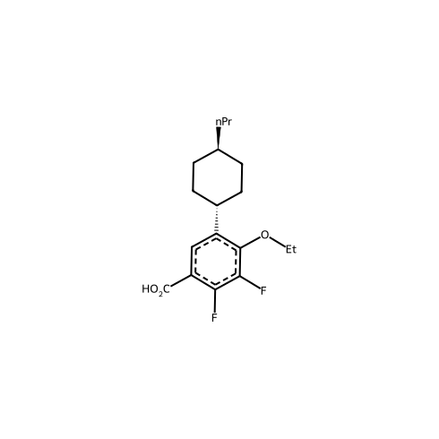 CCC[C@H]1CC[C@H](c2cc(C(=O)O)c(F)c(F)c2OCC)CC1